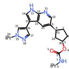 CC(C)NC(=O)O[C@@H]1CC[C@H](c2cnc3[nH]cc(-c4cnn(C(C)C)c4)c3c2)C1